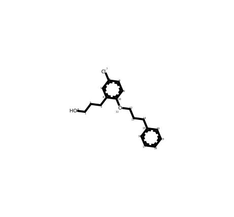 OCCCc1cc(Cl)ccc1OCCCc1ccccc1